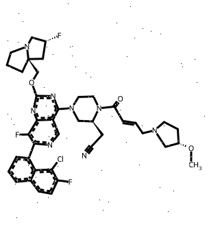 CO[C@H]1CCN(C/C=C/C(=O)N2CCN(c3nc(OC[C@@]45CCCN4C[C@H](F)C5)nc4c(F)c(-c5cccc6ccc(F)c(Cl)c56)ncc34)C[C@@H]2CC#N)C1